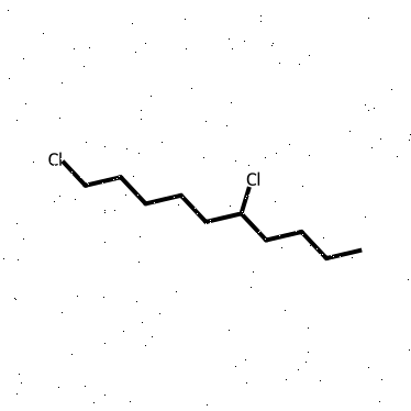 CCCCC(Cl)CCCCCCl